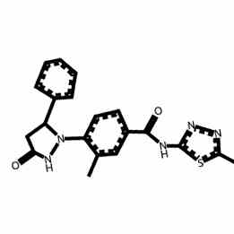 Cc1nnc(NC(=O)c2ccc(N3NC(=O)CC3c3ccccc3)c(C)c2)s1